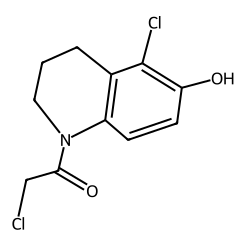 O=C(CCl)N1CCCc2c1ccc(O)c2Cl